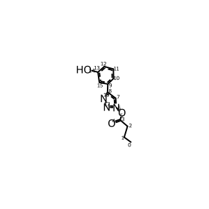 CCCC(=O)On1cc(-c2cccc(O)c2)nn1